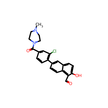 CN1CCN(C(=O)c2ccc(-c3ccc4c(C=O)c(O)ccc4c3)c(Cl)c2)CC1